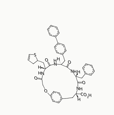 O=C1COc2ccc(cc2)C[C@@H](C(=O)O)NC(=O)[C@@H](Cc2ccccc2)NC(=O)[C@H](Cc2ccc(-c3ccccc3)cc2)NC(=O)[C@@H](CC2CC=CS2)N1